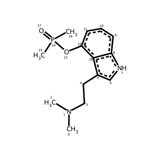 CN(C)CCc1c[nH]c2cccc(OP(C)(C)=O)c12